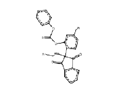 CC(=O)CNC1(c2ccc(C(C)C)cc2OC(=O)Oc2ccccc2)C(=O)c2ccccc2C1=O